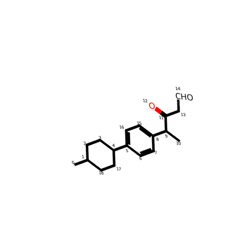 CC1CCC(c2ccc(C(C)C(=O)CC=O)cc2)CC1